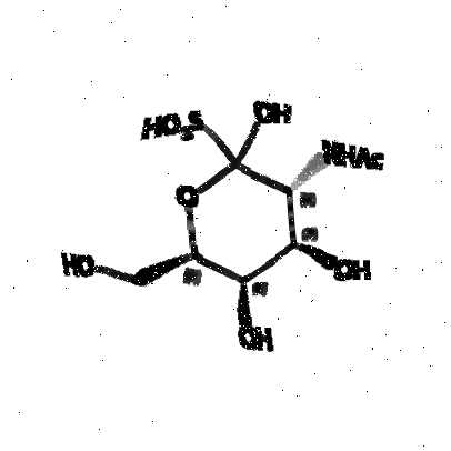 CC(=O)N[C@@H]1[C@@H](O)[C@@H](O)[C@@H](CO)OC1(O)S(=O)(=O)O